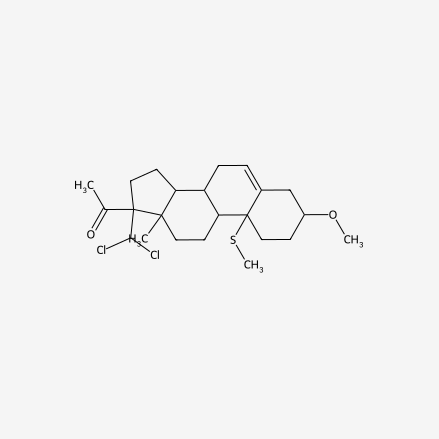 COC1CCC2(SC)C(=CCC3C2CCC2(C)C3CCC2(C(C)=O)C(Cl)Cl)C1